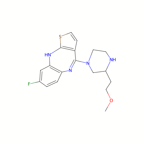 COCCC1CN(C2=Nc3ccc(F)cc3Nc3sccc32)CCN1